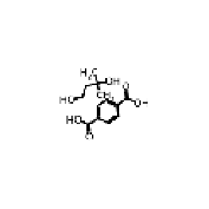 CC(C)(O)CCO.O=C(O)c1ccc(C(=O)O)cc1